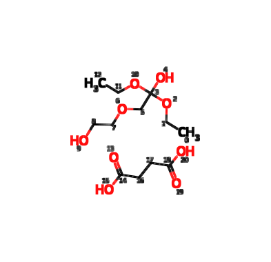 CCOC(O)(COCCO)OCC.O=C(O)CCC(=O)O